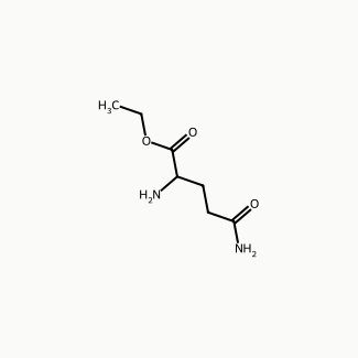 CCOC(=O)C(N)CCC(N)=O